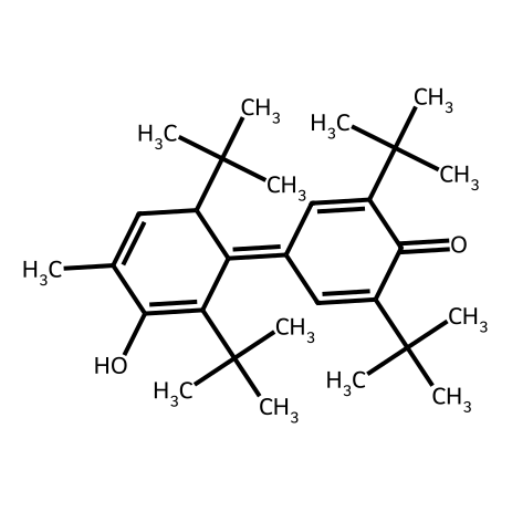 CC1=CC(C(C)(C)C)C(=C2C=C(C(C)(C)C)C(=O)C(C(C)(C)C)=C2)C(C(C)(C)C)=C1O